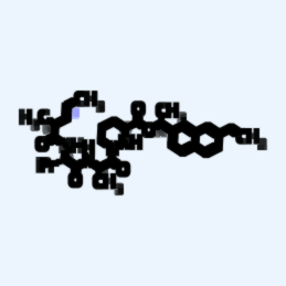 C=Cc1ccc2ccc([C@@H](C)OC(=O)[C@@H]3CCCN(C(=O)[C@H](C)NC(=O)[C@@H](NC(=O)[C@@H](C)/C=C/C)C(C)C)N3)cc2c1